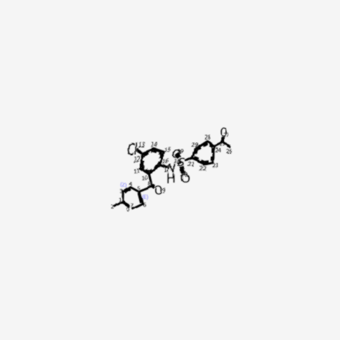 C=C(C)/C=C\C(=C/C)C(=O)c1cc(Cl)ccc1NS(=O)(=O)c1ccc(C(C)=O)cc1